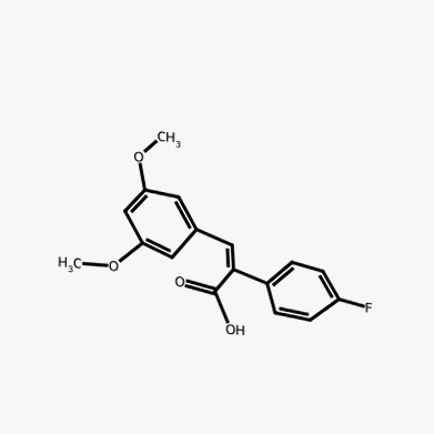 COc1cc(/C=C(\C(=O)O)c2ccc(F)cc2)cc(OC)c1